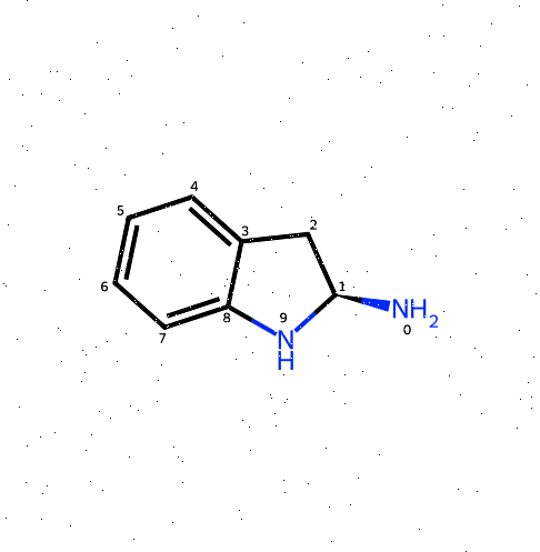 N[C@@H]1Cc2ccccc2N1